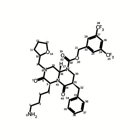 NCCCC[C@H]1C(=O)N(CC2CCCO2)C[C@@H]2N(C(=O)OCc3cc(C(F)(F)F)cc(C(F)(F)F)c3)C[C@@H](Cc3ccccc3)C(=O)N21